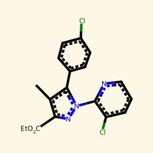 CCOC(=O)c1nn(-c2ncccc2Cl)c(-c2ccc(Cl)cc2)c1C